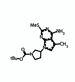 CSc1nc(N)c2c(C)cn(C3CCN(C(=O)OC(C)(C)C)C3)c2n1